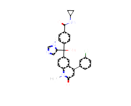 Cn1cncc1C(O)(c1ccc(C(=O)NC2CC2)cc1)c1ccc2c(c1)c(-c1cccc(Cl)c1)cc(=O)n2C